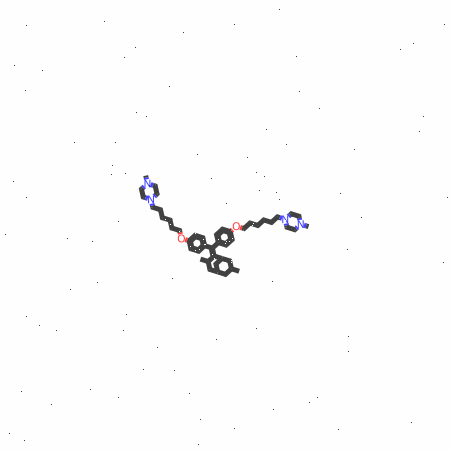 CC1CC2CC(C)C(=C(c3ccc(OCCCCCCN4CCN(C)CC4)cc3)c3ccc(OCCCCCCN4CCN(C)CC4)cc3)C(C1)C2